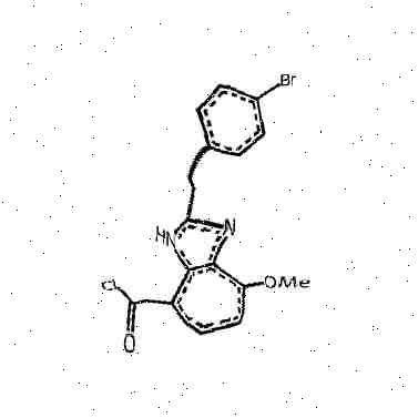 COc1ccc(C(=O)Cl)c2[nH]c(Cc3ccc(Br)cc3)nc12